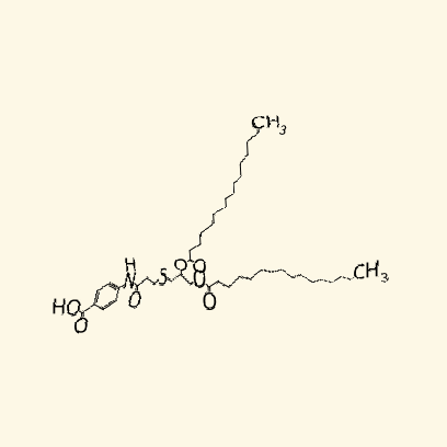 CCCCCCCCCCCCCCCC(=O)OCC(CSCCC(=O)Nc1ccc(C(=O)O)cc1)OC(=O)CCCCCCCCCCCCCCC